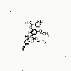 CCOC(=O)C(Nc1ccc(C#N)cc1)c1cc(OCC)cc(OC(C)C2CCCNC2)c1F